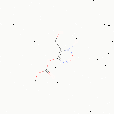 COC(=O)Oc1no[n+]([O-])c1CO